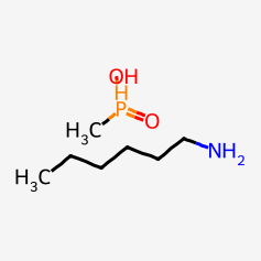 CCCCCCN.C[PH](=O)O